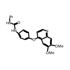 COc1cc2nccc(Oc3ccc(NC(=O)NC(C)C)cc3)c2cc1OC